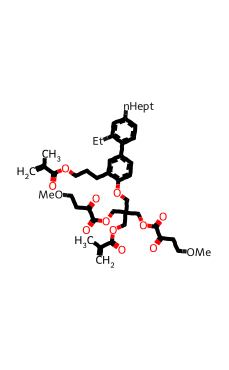 C=C(C)C(=O)OCCCc1cc(-c2ccc(CCCCCCC)cc2CC)ccc1OCC(COC(=O)C(=C)C)(COC(=O)C(=O)CCOC)COC(=O)C(=O)CCOC